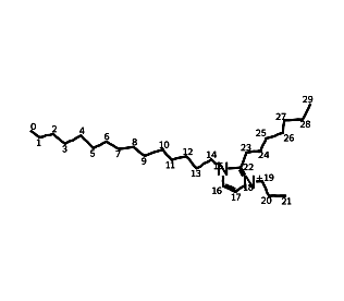 CCCCCCCCCCCCCCCn1cc[n+](CCC)c1CCCCCCC